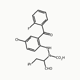 CC(C)CC(C=O)N(Nc1ccc(Cl)cc1C(=O)c1ccccc1F)C(=O)O